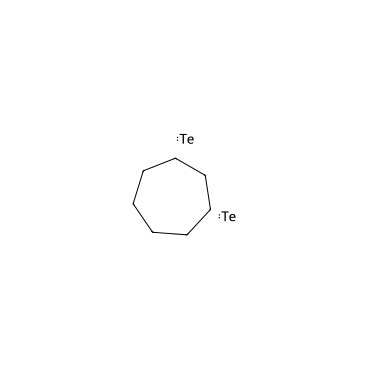 C1CCCCCC1.[Te].[Te]